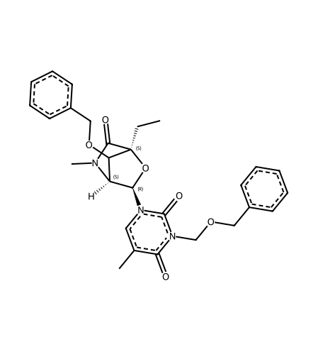 CC[C@]12O[C@@H](n3cc(C)c(=O)n(COCc4ccccc4)c3=O)[C@H](C1OCc1ccccc1)N(C)C2=O